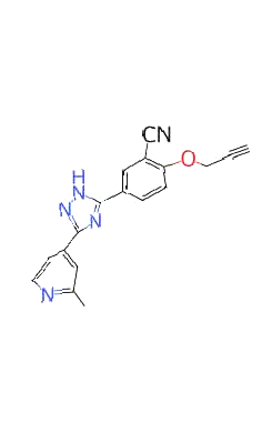 C#CCOc1ccc(-c2nc(-c3ccnc(C)c3)n[nH]2)cc1C#N